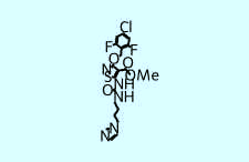 COC(=O)c1c(OCc2c(F)cc(Cl)cc2F)nsc1NC(=O)NCCCCn1ccnc1